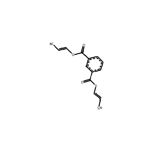 N#CC=COC(=O)c1cccc(C(=O)OC=CC#N)c1